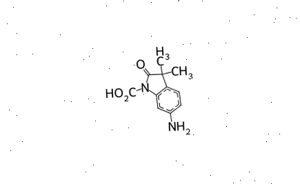 CC1(C)C(=O)N(C(=O)O)c2cc(N)ccc21